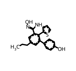 CCCc1cc(C(N)=NO)c(-c2cccs2)c(-c2ccc(O)cc2)c1